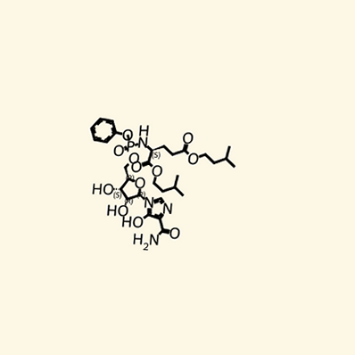 CC(C)CCOC(=O)CC[C@H](NP(=O)(OC[C@H]1O[C@@H](n2cnc(C(N)=O)c2O)[C@H](O)[C@@H]1O)Oc1ccccc1)C(=O)OCCC(C)C